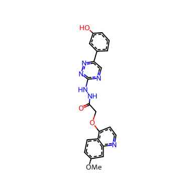 COc1ccc2c(OCC(=O)NNc3ncc(-c4cccc(O)c4)nn3)ccnc2c1